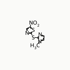 Cn1ccnc1Sc1ncc([N+](=O)[O-])s1